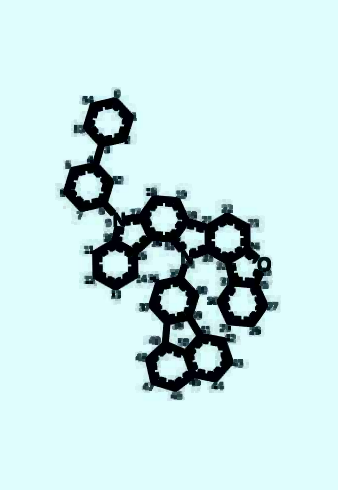 c1ccc(-c2cccc(-n3c4ccccc4c4c3ccc3c5ccc6oc7ccccc7c6c5n(-c5ccc6c(c5)-c5cccc7cccc-6c57)c34)c2)cc1